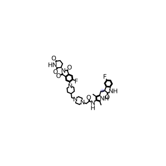 Cc1[nH]c(/C=C2\C(=O)Nc3ccc(F)cc32)c(C)c1NC(=O)CN1CCN(CC2CCN(c3cc4c(cc3F)C(=O)N(C3CCC(=O)NC3=O)C4=O)CC2)CC1